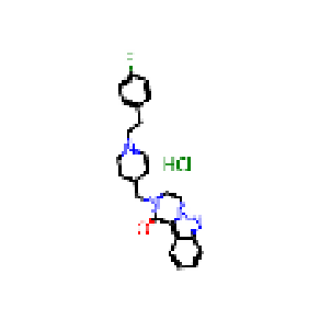 Cl.O=C1c2c3ccccc3nn2CCN1CC1CCN(CCc2ccc(F)cc2)CC1